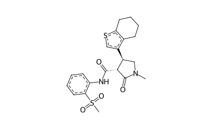 CN1C[C@H](c2csc3c2CCCC3)[C@@H](C(=O)Nc2ccccc2S(C)(=O)=O)C1=O